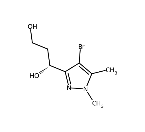 Cc1c(Br)c([C@H](O)CCO)nn1C